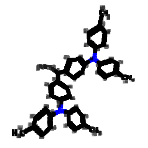 CCCC(C)C(c1ccc(N(c2ccc(C)cc2)c2ccc(C)cc2)cc1)c1ccc(N(c2ccc(C)cc2)c2ccc(C)cc2)cc1